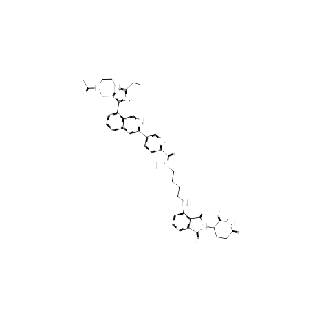 CCc1nc(-c2cccc3cc(-c4ccc(C(=O)NCCCCNc5cccc6c5C(=O)N(C5CCC(=O)NC5=O)C6=O)nc4)ncc23)c2n1CCN(C(C)=O)C2